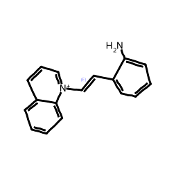 Nc1ccccc1/C=C/[n+]1cccc2ccccc21